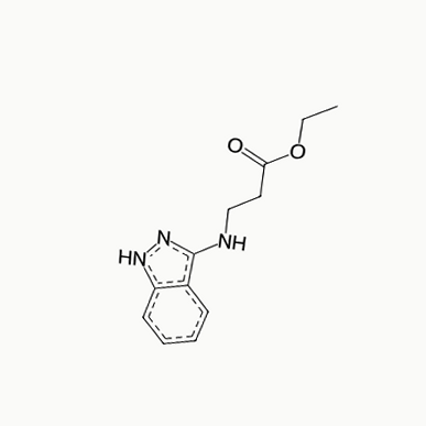 CCOC(=O)CCNc1n[nH]c2ccccc12